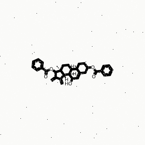 C=C1C(=C)[C@H]2[C@@H]3C(O)C=C4CC(OC(=O)c5ccccc5)CC[C@]4(C)[C@@H]3CC[C@]2(C)C1OC(=O)c1ccccc1